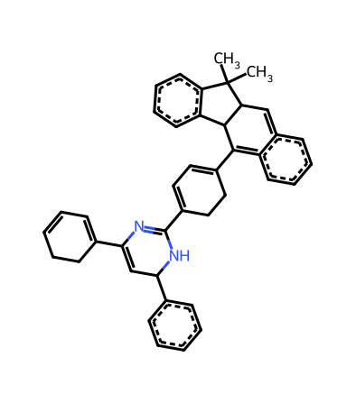 CC1(C)c2ccccc2C2C(C3=CC=C(C4=NC(C5=CC=CCC5)=CC(c5ccccc5)N4)CC3)=c3ccccc3=CC21